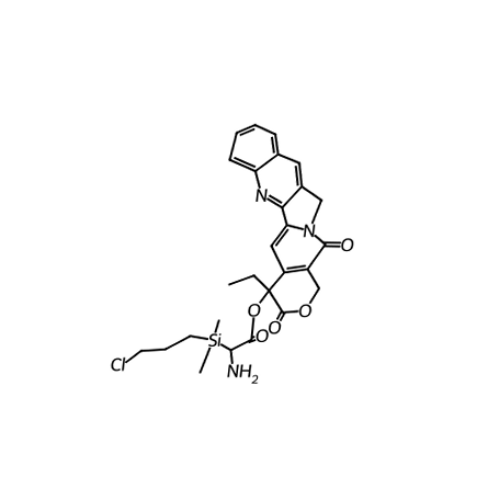 CCC1(OC(=O)C(N)[Si](C)(C)CCCCl)C(=O)OCc2c1cc1n(c2=O)Cc2cc3ccccc3nc2-1